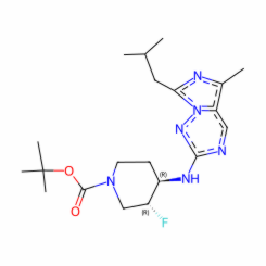 Cc1nc(CC(C)C)n2nc(N[C@@H]3CCN(C(=O)OC(C)(C)C)C[C@H]3F)ncc12